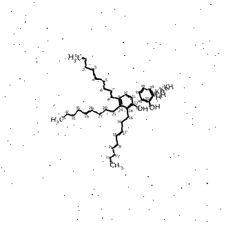 CCCCCCCCCc1ccc(O)c(CCCCCCCCC)c1CCCCCCCCC.Oc1ccccc1.[KH].[KH].[KH]